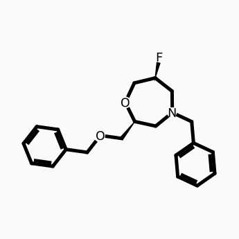 F[C@@H]1CO[C@H](COCc2ccccc2)CN(Cc2ccccc2)C1